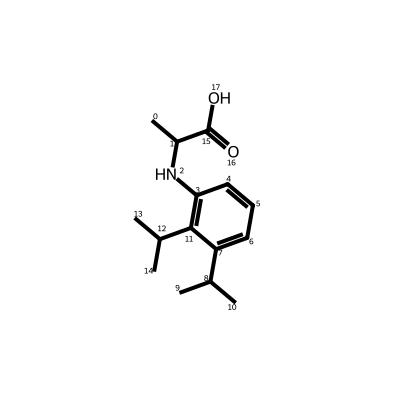 CC(Nc1cccc(C(C)C)c1C(C)C)C(=O)O